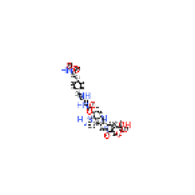 CCc1c2c(nc3ccc(OC(=O)NCCNCc4ccc(/C=C/C(=O)NO)cc4)c(N)c13)-c1cc3c(c(=O)n1C2)COC(=O)[C@]3(O)CC